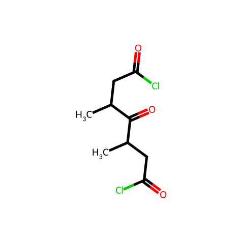 CC(CC(=O)Cl)C(=O)C(C)CC(=O)Cl